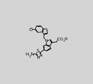 Nc1nnc(-c2ccc3c(CC(=O)O)cn(Cc4csc5ccc(Cl)cc45)c3c2)s1